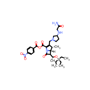 CC[Si](CC)(CC)O[C@H](C)C1C(=O)N2C(C(=O)OC(=O)c3ccc([N+](=O)[O-])cc3)=C(CN3CC[C@H](NCC(N)=O)C3)[C@H](C)[C@H]12